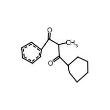 CC(C(=O)c1ccccc1)C(=O)C1CCCCC1